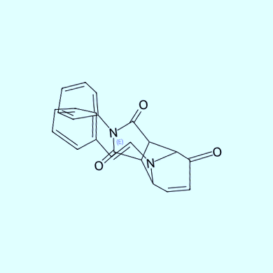 O=C1C=CC2C3C(=O)N(c4ccccc4)C(=O)C3C1N2/C=C/c1ccccc1